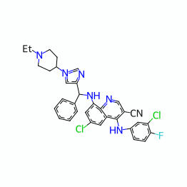 CCN1CCC(n2cnc(C(Nc3cc(Cl)cc4c(Nc5ccc(F)c(Cl)c5)c(C#N)cnc34)c3ccccc3)c2)CC1